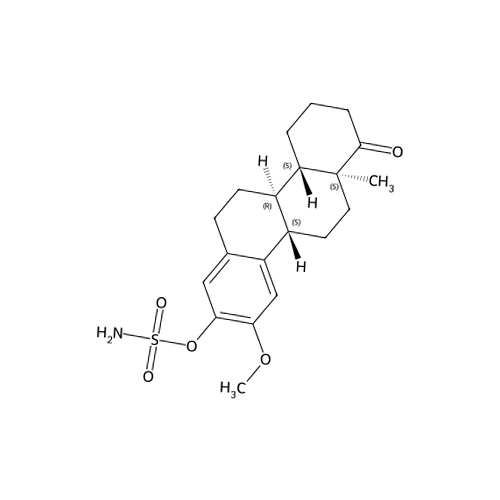 COc1cc2c(cc1OS(N)(=O)=O)CC[C@@H]1[C@@H]2CC[C@]2(C)C(=O)CCC[C@@H]12